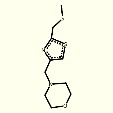 CSCc1nc(CN2CCOCC2)cs1